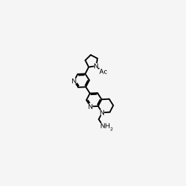 CC(=O)N1CCCC1c1cncc(-c2cnc3c(c2)CCCN3CN)c1